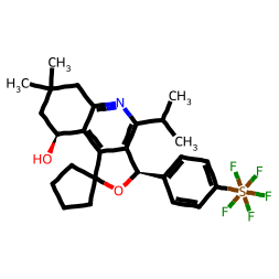 CC(C)c1nc2c(c3c1[C@@H](c1ccc(S(F)(F)(F)(F)F)cc1)OC31CCCC1)[C@@H](O)CC(C)(C)C2